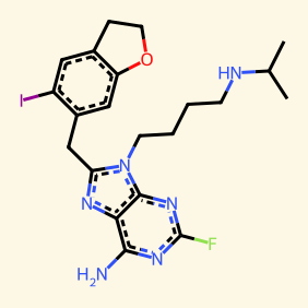 CC(C)NCCCCn1c(Cc2cc3c(cc2I)CCO3)nc2c(N)nc(F)nc21